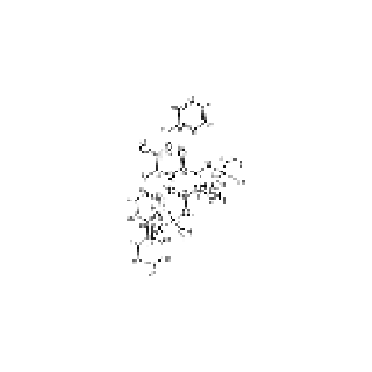 CN(C(=O)OC(C)(C)C)C(CC(C)(C)F)C(=O)OC(Cc1ccc(N2CCOCC2)cc1)C(=O)OCc1ccccc1